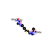 COC(=O)N[C@@H](C(=O)N1CCCC1c1ncc(-c2csc3c(-c4ccc(-c5ccc6[nH]c(C7CCCN7C(=O)[C@H](NC(=O)OC)C(C)C)nc6c5)cc4)csc23)[nH]1)c1ccccc1